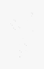 CCCCCc1cn(CCC)c(=O)n1Cc1ccc(-c2cnccc2-c2nnn[nH]2)cc1